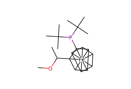 COC(C)[C]12[CH]3[CH]4[CH]5[C]1(P(C(C)(C)C)C(C)(C)C)[Fe]43521678[CH]2[CH]1[CH]6[CH]7[CH]28